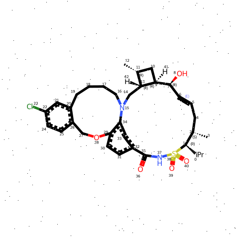 CC(C)[C@@H]1[C@@H](C)C/C=C/[C@H](O)[C@@H]2C[C@@H](C)[C@H]2CN2CCCCc3cc(Cl)ccc3COc3ccc(cc32)C(=O)NS1(=O)=O